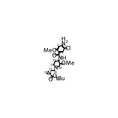 COc1cc(N)c(Cl)cc1C(=O)NC1CCN(CCN(C)C(=O)OC(C)(C)C)CC1OC